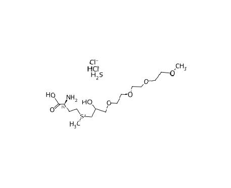 COCCOCCOCCOCC(O)C[S+](C)CC[C@H](N)C(=O)O.Cl.S.[Cl-]